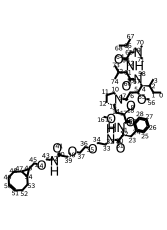 CCC(C)[C@@H](C(CC(=O)N1CCC[C@H]1[C@H](OC)[C@@H](C)C(=O)N[C@@H](Cc1ccccc1)C(=O)NCCOCCOCC(=O)NCOCC1C2CC/C=C\CCC21)OC)N(C)C(=O)[C@@H](NC(=O)[C@H](C(C)C)N(C)C)C(C)C